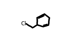 ClCC1C=CCC=C1